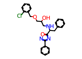 OC(CNC(Cc1ccccc1)c1nc(-c2ccccc2)no1)COCc1ccccc1Cl